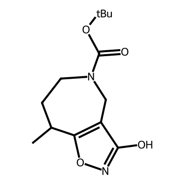 CC1CCN(C(=O)OC(C)(C)C)Cc2c(O)noc21